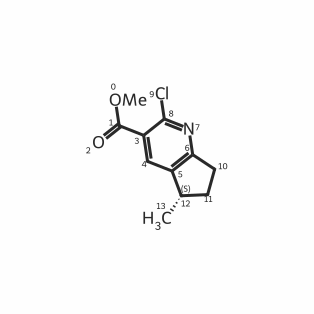 COC(=O)c1cc2c(nc1Cl)CC[C@@H]2C